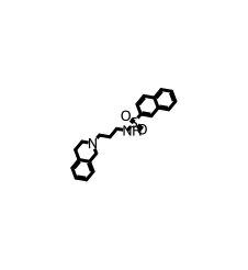 O=S(=O)(NCCCN1CCc2ccccc2C1)c1ccc2ccccc2c1